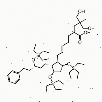 CC[Si](CC)(CC)O[C@@H](CCc1ccccc1)CC[C@@H]1[C@@H](CC=CCCC(CC(C)(CO)CO)C(=O)O)[C@@H](O[Si](CC)(CC)CC)C[C@H]1O[Si](CC)(CC)CC